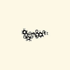 CCOc1ccc2c(c1)C(=O)N(CCOC(c1ccccc1)N1C(=O)CSC1=O)CO2